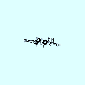 C[Si](C)(C)CCOCn1cc(Cl)c2c(Oc3c(F)cc(NC(=S)NCCO)cc3F)ccnc21